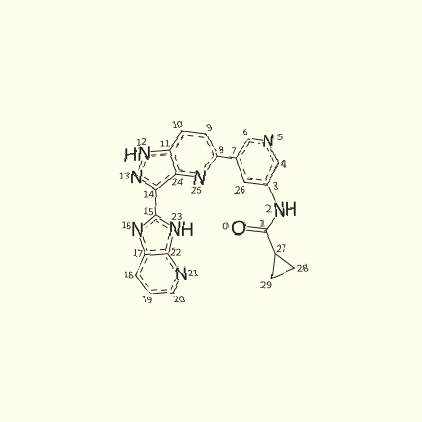 O=C(Nc1cncc(-c2ccc3[nH]nc(-c4nc5cccnc5[nH]4)c3n2)c1)C1CC1